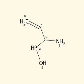 C=CC(N)PO